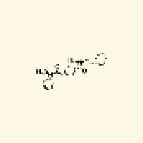 CN(CCc1ccccc1)C(=O)c1ccc(OC(=O)N(C)c2ccccc2)cc1